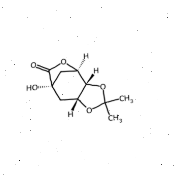 CC1(C)O[C@H]2[C@H]3C[C@@](O)(C[C@H]2O1)C(=O)O3